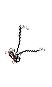 CCCCCCCCCCCCCCCCCCN(CCCCCCCCCCCCCCCCCC)C(CCC(=O)O)C(=O)C1(C(=O)O)CCCCC1C(=O)C(N)Cc1c[nH]cn1